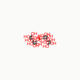 O=S(=O)(OC[C@H]1O[C@H](O[C@]2(CO)O[C@H](CO)[C@@H](O)[C@@H]2O)[C@H](O)[C@@H](O)[C@@H]1O)OC[C@H]1O[C@H](O[C@]2(CO)O[C@H](CO)[C@@H](O)[C@@H]2O)[C@H](O)[C@@H](O)[C@@H]1O